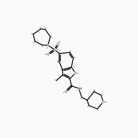 Cc1c(C(=O)NCC2CCOCC2)oc2ccc(S(=O)(=O)N3CCCCCC3)cc12